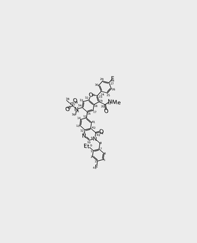 CCc1cc(F)ccc1Cn1cnc2ccc(-c3cc4c(C(=O)NC)c(-c5ccc(F)cc5)oc4cc3N(C)S(C)(=O)=O)cc2c1=O